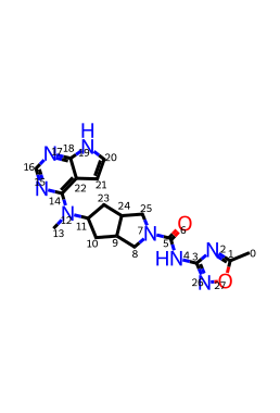 Cc1nc(NC(=O)N2CC3CC(N(C)c4ncnc5[nH]ccc45)CC3C2)no1